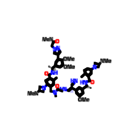 CNC(=O)Cn1cc(-c2cc([C@@H](C)NC(=O)c3cc(N4CC(NC)C4)c(CN(C)C(=O)CN/C=C(\C=N)c4cc(OC)cc([C@@H](C)NC(=O)c5cc(N6CC(NC)C6)ccc5C)c4)cc3C)cc(OC)c2OC)cn1